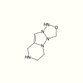 C1=C2CNCCN2N2CONN12